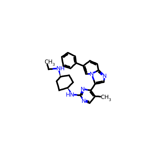 CCN[C@H]1CC[C@@H](Nc2ncc(C)c(-c3cnc4ccc(-c5ccccc5)cn34)n2)CC1